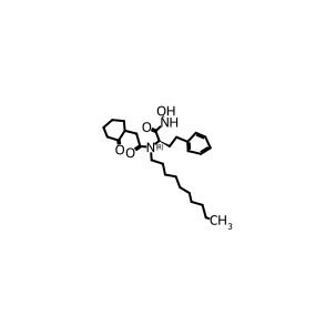 CCCCCCCCCCN(C(=O)CC1CCCCC1=O)[C@H](CCc1ccccc1)C(=O)NO